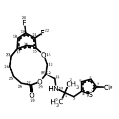 CC(C)(Cc1ccc(Cl)s1)NC[C@@H]1COc2cc(cc(F)c2F)CCCCC(=O)O1